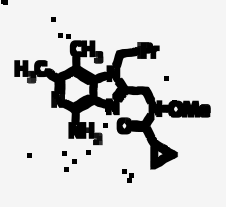 CON(Cc1nc2c(N)nc(C)c(C)c2n1CC(C)C)C(=O)C1CC1